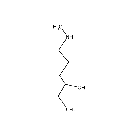 CCC(O)CCCNC